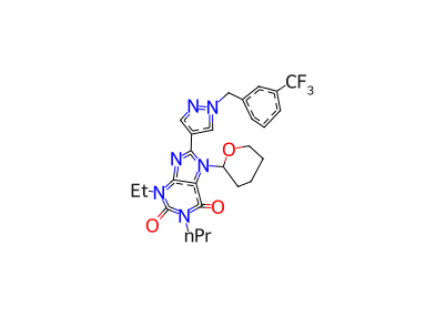 CCCn1c(=O)c2c(nc(-c3cnn(Cc4cccc(C(F)(F)F)c4)c3)n2C2CCCCO2)n(CC)c1=O